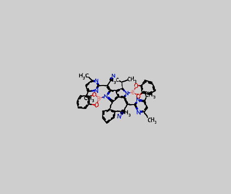 Cc1cc(C)nc(/C(C#N)=c2/c3c(C(C)C)n(B4Oc5ccccc5O4)/c(=C(/C#N)c4nc(C)cc(C)n4)c3c(-c3ccccc3C)n2B2Oc3ccccc3O2)n1